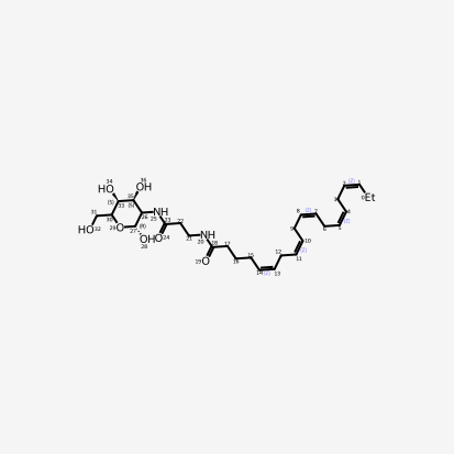 CC/C=C\C/C=C\C/C=C\C/C=C\C/C=C\CCCC(=O)NCCC(=O)NC1[C@H](O)OC(CO)[C@@H](O)[C@H]1O